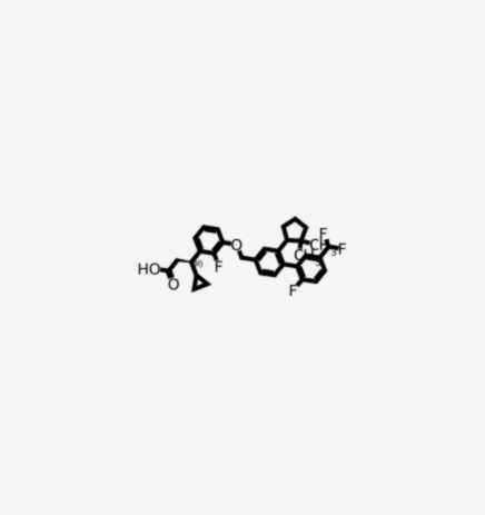 CC1(C)CCCC1c1cc(COc2cccc([C@H](CC(=O)O)C3CC3)c2F)ccc1-c1cc(C(F)F)ccc1F